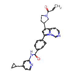 C=CC(=O)N1CCC(c2cc(-c3ccc(C(=O)Nc4cc(C5CC5)ccn4)cc3)n3cnccc23)C1